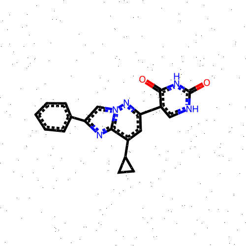 O=c1[nH]cc(-c2cc(C3CC3)c3nc(-c4ccccc4)cn3n2)c(=O)[nH]1